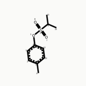 Cc1ccc(OS(=O)(=O)C(C)C)cc1